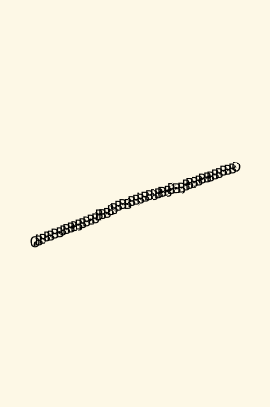 COB=BB=BB=BB=BB=BB=BB=BB=BB=BB=BB=BB=BB=BB=BB=BB=BB=BB=BB=BB=BB=BB=BB=BB=O